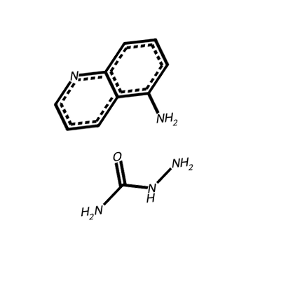 NNC(N)=O.Nc1cccc2ncccc12